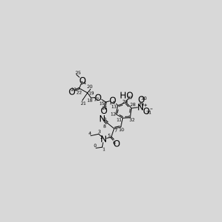 CCN(CC)C(=O)/C(C#N)=C/c1cc(OC(=O)OCC(C)(C)C(=O)OC)c(O)c([N+](=O)[O-])c1